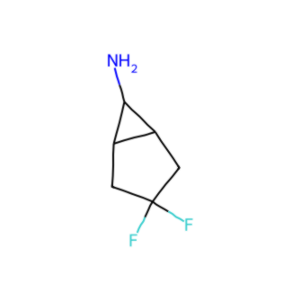 NC1C2CC(F)(F)CC12